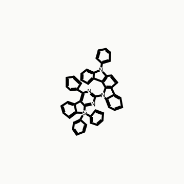 c1ccc(-c2nc(-n3c4ccccc4c4ccc5c(c6ccccc6n5-c5ccccc5)c43)nc3c2-c2ccccc2[Si]3(c2ccccc2)c2ccccc2)cc1